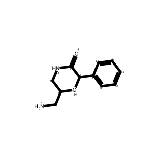 NCC1CNC(=O)C(c2ccccc2)O1